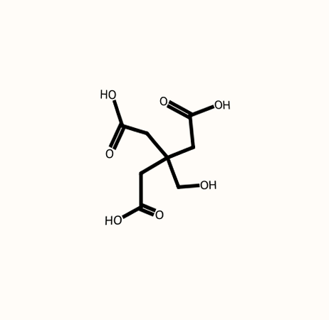 O=C(O)CC(CO)(CC(=O)O)CC(=O)O